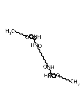 CCCCCCCCOc1ccc2[nH]cc(CCNC(=O)CCCCCCCCCCC(=O)NCCc3c[nH]c4ccc(OCCCCCCCC)cc34)c2c1